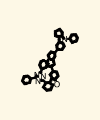 c1ccc(-c2nc(-c3ccccc3)nc(-c3cccc4oc5ccc(-c6ccc7ccc(-c8ccc9c(c8)c8ccccc8n9-c8ccccc8)cc7c6)cc5c34)n2)cc1